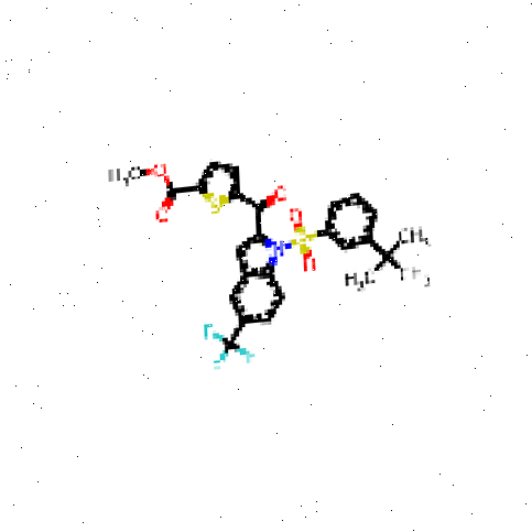 COC(=O)c1ccc(C(=O)c2cc3cc(C(F)(F)F)ccc3n2S(=O)(=O)c2cccc(C(C)(C)C)c2)s1